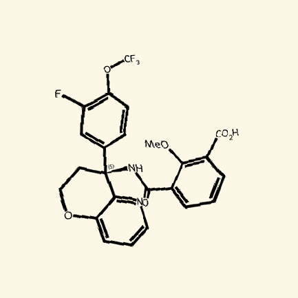 COc1c(C(=O)O)cccc1C(=O)N[C@]1(c2ccc(OC(F)(F)F)c(F)c2)CCOc2cccnc21